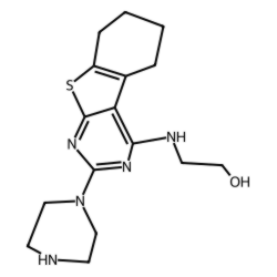 OCCNc1nc(N2CCNCC2)nc2sc3c(c12)CCCC3